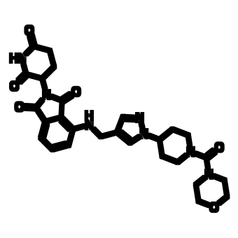 O=C1CCC(N2C(=O)c3cccc(NCc4cnn(C5CCN(C(=O)N6CCOCC6)CC5)c4)c3C2=O)C(=O)N1